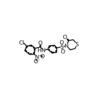 O=C(Nc1ccc(S(=O)(=O)N2CCSCC2=O)cc1)c1cc(Cl)ccc1[N+](=O)[O-]